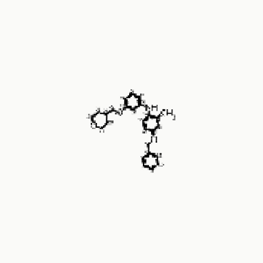 Cc1cc(OCc2ccccc2)ccc1Nc1cccc(OCC2CCOCC2)c1